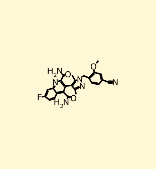 COc1cc(C#N)ccc1Cn1nc(C)c(-c2c(C(N)=O)nc3cc(F)ccc3c2C(N)=O)c1C